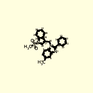 Cc1ccc2c(c1)nc(-c1ccccc1)n2Cc1cn(S(C)(=O)=O)c2ccccc12